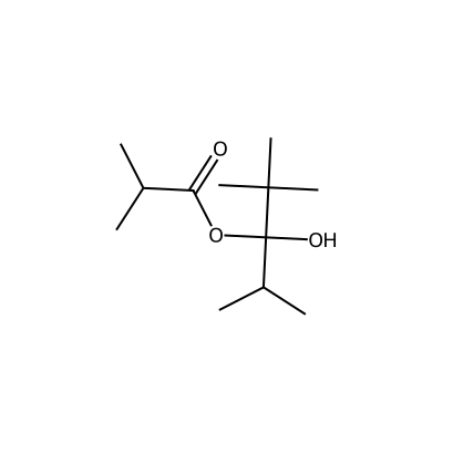 CC(C)C(=O)OC(O)(C(C)C)C(C)(C)C